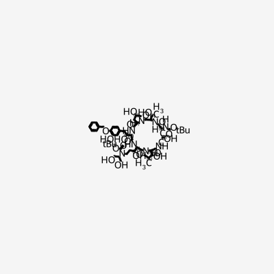 C[C@@H](O)C1NC(=O)[C@@H](NC(=O)OC(C)(C)C)C[C@@H](O)CNC(=O)[C@@H]2[C@@H](O)[C@@H](C)CN2C(=O)[C@H]([C@H](O)CCN(C(=O)OC(C)(C)C)C(CO)CO)NC(=O)[C@H]([C@H](O)Cc2ccc(OCc3ccccc3)c(O)c2)NC(=O)[C@@H]2C[C@@H](O)CN2C1=O